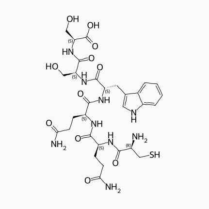 NC(=O)CC[C@H](NC(=O)[C@H](CCC(N)=O)NC(=O)[C@@H](N)CS)C(=O)N[C@@H](Cc1c[nH]c2ccccc12)C(=O)N[C@@H](CO)C(=O)N[C@@H](CO)C(=O)O